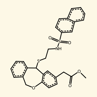 COC(=O)Cc1ccc2c(c1)C(SCCNS(=O)(=O)c1ccc3ccccc3c1)c1ccccc1CO2